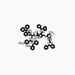 CC(=O)Oc1ccc(C(ON=C(C(=O)N[C@@H]2C(=O)N3C(C(=O)OC(c4ccccc4)c4ccccc4)=C(CSc4cc(C)nc5nc(C(=O)OC(c6ccccc6)c6ccccc6)nn45)CS[C@H]23)c2csc(NC(c3ccccc3)(c3ccccc3)c3ccccc3)n2)C(=O)OC(c2ccccc2)c2ccccc2)cc1OC(C)=O